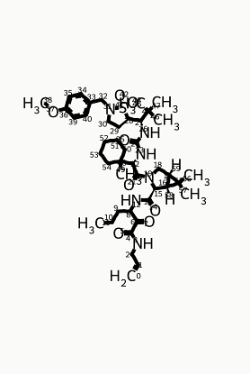 C=CCNC(=O)C(=O)C(CCC)NC(=O)[C@@H]1[C@@H]2[C@H](CN1C(=O)[C@@H](NC(=O)N[C@H]([C@H]1CCN(Cc3ccc(OC)cc3)S1(=O)=O)C(C)(C)C)C1(C)CCCCC1)C2(C)C